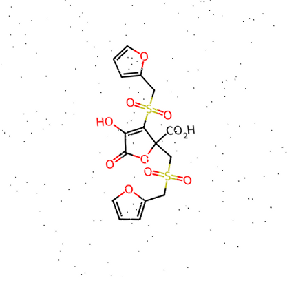 O=C1OC(CS(=O)(=O)Cc2ccco2)(C(=O)O)C(S(=O)(=O)Cc2ccco2)=C1O